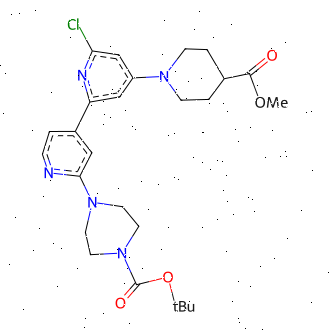 COC(=O)C1CCN(c2cc(Cl)nc(-c3ccnc(N4CCN(C(=O)OC(C)(C)C)CC4)c3)c2)CC1